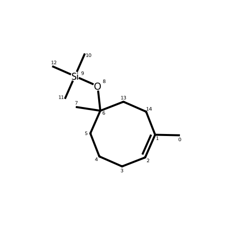 CC1=CCCCC(C)(O[Si](C)(C)C)CC1